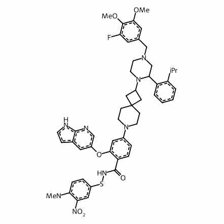 CNc1ccc(SNC(=O)c2ccc(N3CCC4(CC3)CC(N3CCN(Cc5cc(F)c(OC)c(OC)c5)CC3c3ccccc3C(C)C)C4)cc2Oc2cnc3[nH]ccc3c2)cc1[N+](=O)[O-]